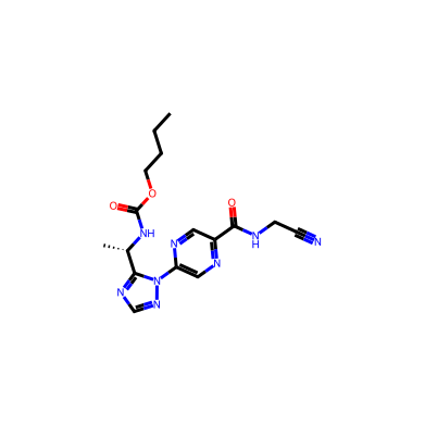 CCCCOC(=O)N[C@@H](C)c1ncnn1-c1cnc(C(=O)NCC#N)cn1